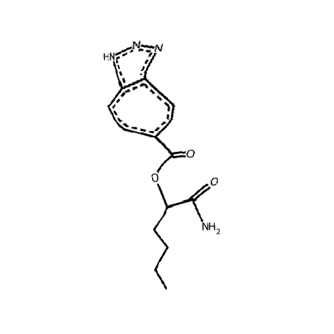 CCCCC(OC(=O)c1ccc2[nH]nnc2c1)C(N)=O